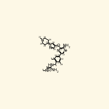 CN/N=C(\N)NCc1c(C)cc(-c2cnc(N)c(Oc3cnn(C4CCN(C)CC4)c3)n2)cc1C